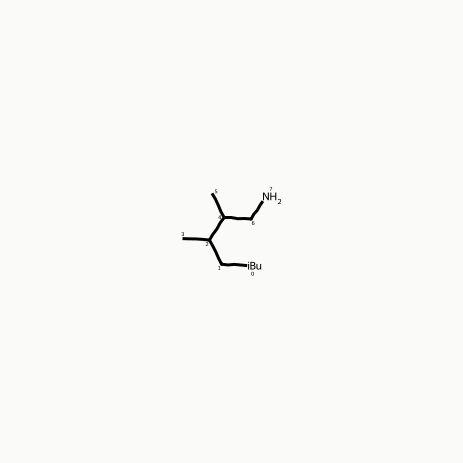 CCC(C)CC(C)C(C)CN